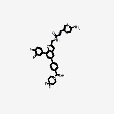 Nc1ccc(/C=C/C(=O)NCc2cc3cc(-c4ccc(C(O)N5CCC(F)(F)CC5)cc4)cc(-c4ccc(F)c(F)c4)c3o2)cn1